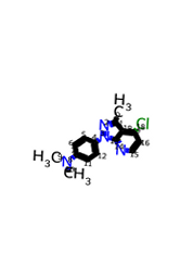 Cc1nn(-c2ccc(N(C)C)cc2)c2nccc(Cl)c12